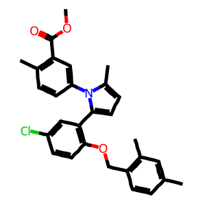 COC(=O)c1cc(-n2c(C)ccc2-c2cc(Cl)ccc2OCc2ccc(C)cc2C)ccc1C